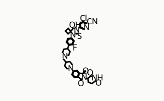 N#Cc1ncc(N2C(=S)N(c3ccc(C4CCN(CC5CCN(c6ccc7c(c6)C(=O)N(C6CCC(=O)NC6=O)C7=O)CC5)CC4)c(F)c3)C3(CCC3)C2O)cc1Cl